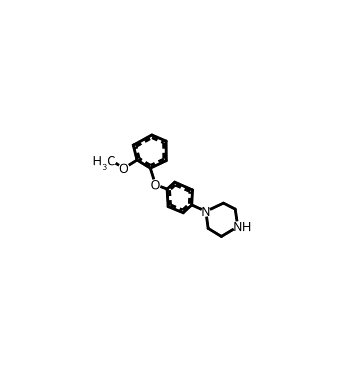 COc1ccccc1Oc1ccc(N2CCNCC2)cc1